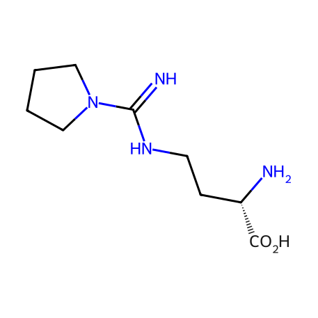 N=C(NCC[C@H](N)C(=O)O)N1CCCC1